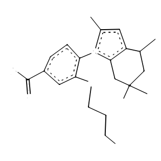 CCCCOc1cc(C(N)=O)ccc1-n1c(C)cc2c1CC(C)(C)CC2C